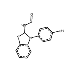 O=CNC1Sc2ccccc2N1c1ccc(O)cc1